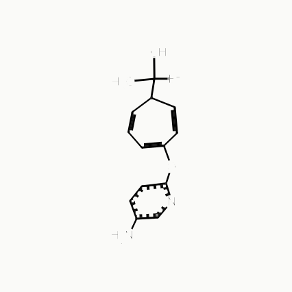 CCC(C)(C)C1C=CC=C(Oc2ccc(N)cn2)C=C1